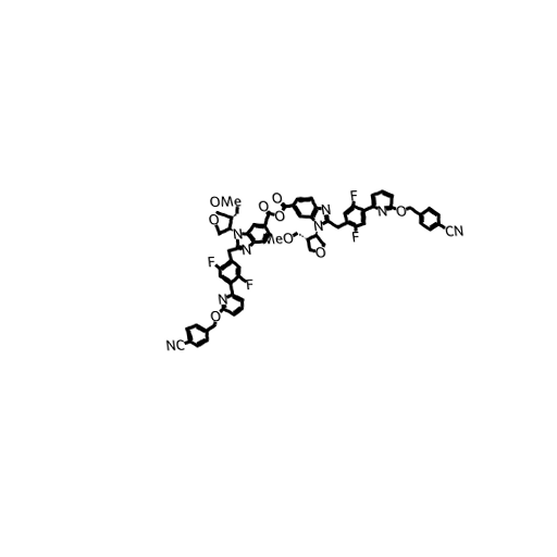 COC[C@H]1COC[C@H]1n1c(Cc2cc(F)c(-c3cccc(OCc4ccc(C#N)cc4)n3)cc2F)nc2ccc(C(=O)OC(=O)c3ccc4nc(Cc5cc(F)c(-c6cccc(OCc7ccc(C#N)cc7)n6)cc5F)n([C@@H]5COC[C@@H]5COC)c4c3)cc21